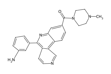 CN1CCN(C(=O)c2ccc3c(c2)nc(-c2cccc(N)c2)c2ccncc23)CC1